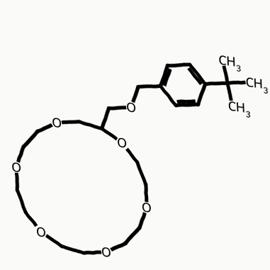 CC(C)(C)c1ccc(COCC2COCCOCCOCCOCCOCCO2)cc1